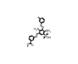 COC(=O)c1cccc(/N=N/c2cc(S(=O)(=O)O)c(N)c(/N=N/c3cccc(C)c3)c2N)c1